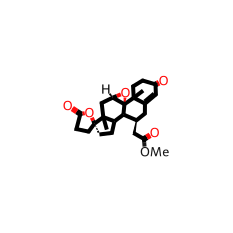 COC(=O)C[C@@H]1CC2=CC(=O)CCC2(C)[C@@]23O[C@@H]2CC2(C)C(CC[C@@]24CCC(=O)O4)C13